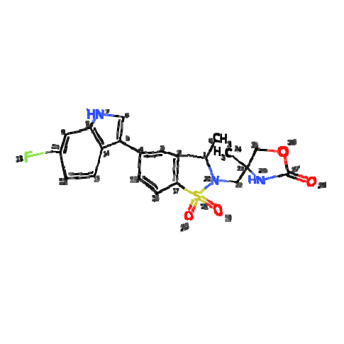 CC1c2cc(-c3c[nH]c4cc(F)ccc34)ccc2S(=O)(=O)N1CC1(C)COC(=O)N1